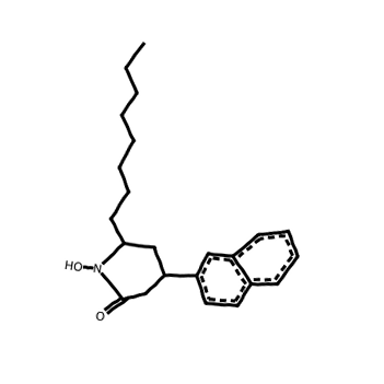 CCCCCCCCC1CC(c2ccc3ccccc3c2)CC(=O)N1O